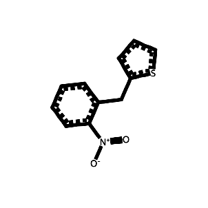 O=[N+]([O-])c1ccccc1Cc1cccs1